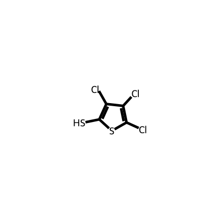 Sc1sc(Cl)c(Cl)c1Cl